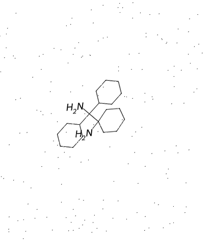 NC1(C(N)(C2CCCCC2)C2CCCCC2)CCCCC1